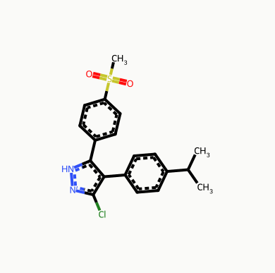 CC(C)c1ccc(-c2c(Cl)n[nH]c2-c2ccc(S(C)(=O)=O)cc2)cc1